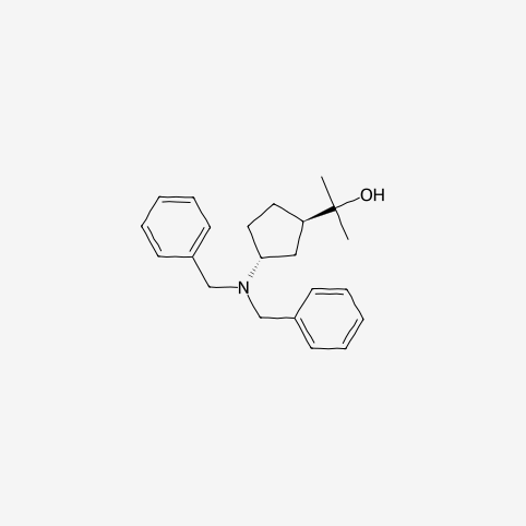 CC(C)(O)[C@@H]1CC[C@@H](N(Cc2ccccc2)Cc2ccccc2)C1